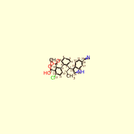 CCC(c1ccccc1-c1ccc(Cl)c(C(=O)O)c1C(=O)OC)c1c[nH]c2cc(C#N)ccc12